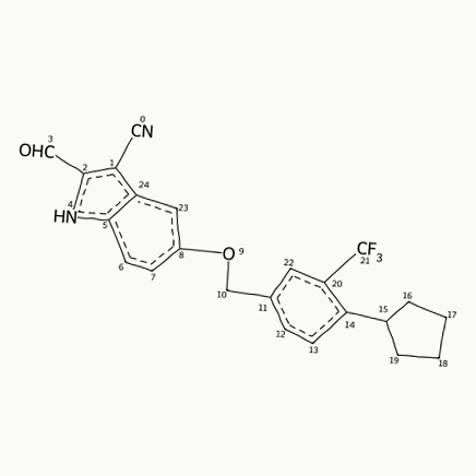 N#Cc1c(C=O)[nH]c2ccc(OCc3ccc(C4CCCC4)c(C(F)(F)F)c3)cc12